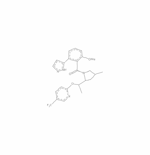 COc1cccc(-c2ccn[nH]2)c1C(=O)N1CC(C)CC1C(C)Oc1ccc(C(F)(F)F)cn1